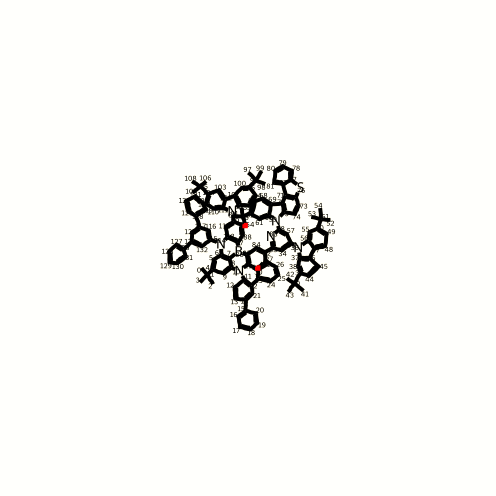 CC(C)(C)c1cc2c3c(c1)N(c1ccc(-c4ccccc4)cc1-c1ccccc1)c1ccc(-c4cc(-n5c6cc(C(C)(C)C)ccc6c6ccc(C(C)(C)C)cc65)cc(-n5c6cc(C(C)(C)C)ccc6c6c7c(ccc65)sc5ccccc57)n4)cc1B3c1ccc(-n3c4ccc(C(C)(C)C)cc4c4cc(C(C)(C)C)ccc43)cc1N2c1cc(-c2ccccc2)cc(-c2ccccc2)c1